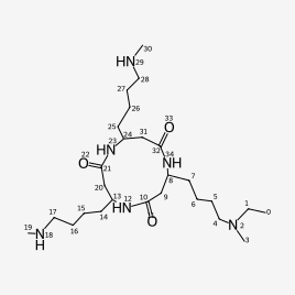 CCN(C)CCCCC1CC(=O)NC(CCCCNC)CC(=O)NC(CCCCNC)CC(=O)N1